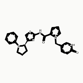 O=C(Nc1nc([C@H]2CCCN2c2ccccc2)cs1)c1cccn1Cc1ccc(=O)[nH]c1